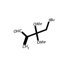 C=C(C=O)C(CC(C)(C)C)(OC)OC